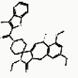 CCN1C(=O)N2Cc3cc(OC)cc(OC)c3[C@@H](C)C=C2C12CCN(C(=O)c1oc3ccccc3c1C)CC2